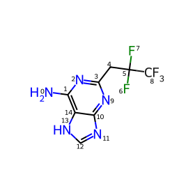 Nc1nc(CC(F)(F)C(F)(F)F)nc2nc[nH]c12